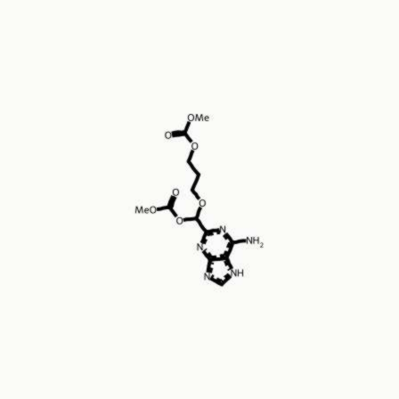 COC(=O)OCCCOC(OC(=O)OC)c1nc(N)c2[nH]cnc2n1